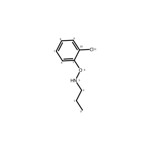 CCCNOc1ccccc1Cl